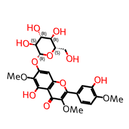 COc1ccc(-c2oc3cc(O[C@H]4O[C@@H](CO)[C@H](O)[C@@H](O)[C@@H]4O)c(OC)c(O)c3c(=O)c2OC)cc1O